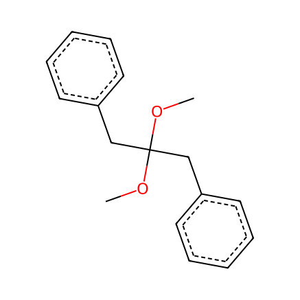 COC(Cc1ccccc1)(Cc1ccccc1)OC